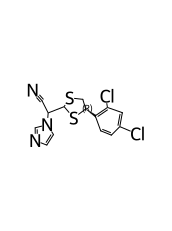 N#CC(C1SC[C@@H](c2ccc(Cl)cc2Cl)S1)n1ccnc1